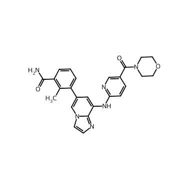 Cc1c(C(N)=O)cccc1-c1cc(Nc2ccc(C(=O)N3CCOCC3)cn2)c2nccn2c1